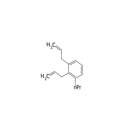 C=CCc1cccc(C[C]C)c1CC=C